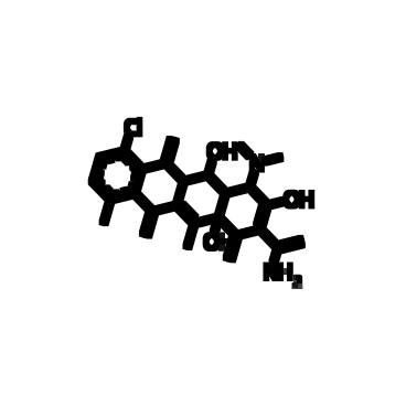 C=C(N)C1=C(O)C(N(C)C)C2C(O)C3C(=C)c4c(Cl)ccc(C)c4C(=C)C3=C(C)C2(O)C1=C